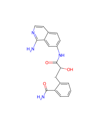 NC(=O)c1ccccc1[CH]C(O)C(=O)Nc1ccc2ccnc(N)c2c1